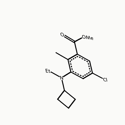 CCN(c1cc(Cl)cc(C(=O)OC)c1C)C1CCC1